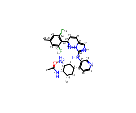 CC(=O)N[C@@H]1[C@H](N)C[C@H](c2ccncc2Nc2ncc3ccc(-c4c(F)cc(C)cc4F)nn23)C[C@@H]1C